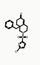 O=C1C=C2CCN(S(=O)(=O)c3ccc(Cl)s3)CC2(Cc2ccccc2)CC1